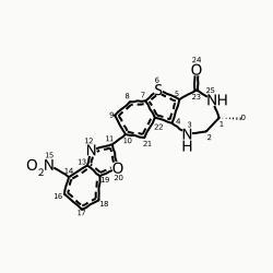 C[C@@H]1CNc2c(sc3ccc(-c4nc5c([N+](=O)[O-])cccc5o4)cc23)C(=O)N1